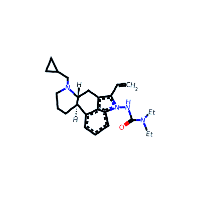 C=Cc1c2c3c(cccc3n1NC(=O)N(CC)CC)[C@H]1CCCN(CC3CC3)[C@@H]1C2